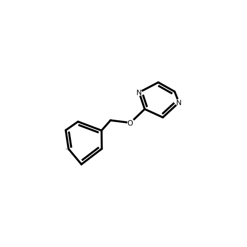 [c]1ccc(COc2cnccn2)cc1